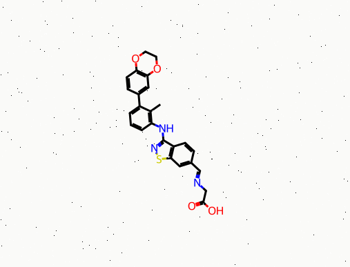 Cc1c(Nc2nsc3cc(C=NCC(=O)O)ccc23)cccc1-c1ccc2c(c1)OCCO2